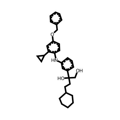 OCC(O)(CCC1CCCCC1)c1cccc(Nc2ccc(OCc3ccccc3)cc2C2CC2)c1